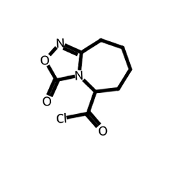 O=C(Cl)C1CCCCc2noc(=O)n21